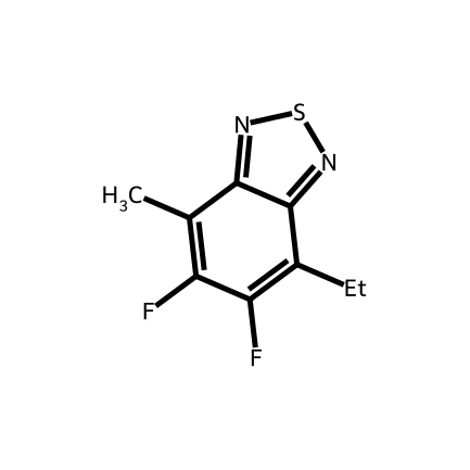 CCc1c(F)c(F)c(C)c2nsnc12